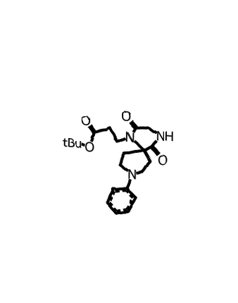 CC(C)(C)OC(=O)CCN1C(=O)CNC(=O)C12CCN(c1ccccc1)CC2